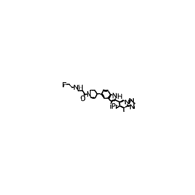 Cc1c(-c2[nH]c3ccc(C4CCN(C(=O)CCNCCF)CC4)cc3c2C(C)C)cn2ncnc2c1C